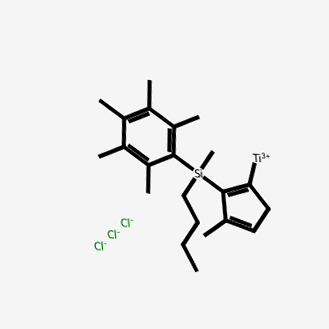 CCCC[Si](C)(C1=[C]([Ti+3])CC=C1C)c1c(C)c(C)c(C)c(C)c1C.[Cl-].[Cl-].[Cl-]